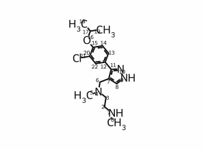 CNCCN(C)Cc1c[nH]nc1-c1ccc(OC(C)C)c(Cl)c1